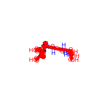 CC1(C)C(/C=C/C2=C(Oc3ccc(S(=O)(=O)O)cc3)C(=C/C=C3/N(CCCCS(=O)(=O)O)c4ccccc4C3(C)C)/CCC2)=[N+](CCCCCC(=O)NCCOCCOCC(=O)NCCCC[C@H](NC(=O)N[C@@H](CCC(=O)O)C(=O)O)C(=O)O)c2ccccc21